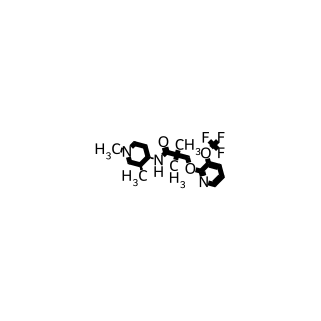 C[C@H]1CN(C)CC[C@@H]1NC(=O)C(C)(C)COc1ncccc1OC(F)(F)F